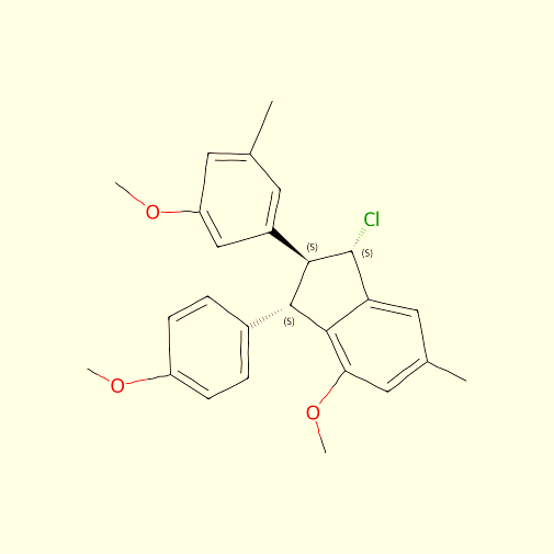 COc1ccc([C@H]2c3c(OC)cc(C)cc3[C@@H](Cl)[C@@H]2c2cc(C)cc(OC)c2)cc1